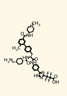 Cc1ccc(C(=O)NC2CCN(C)CC2)cc1-c1ccc(C[C@H](NC(=O)[C@H]2CC[C@H](CN)CC2)C(=O)Nc2ccc(-c3nc(C(F)(F)C(F)(F)C(=O)O)n[nH]3)cc2)cc1